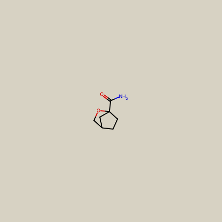 NC(=O)C12[CH]CC(CO1)C2